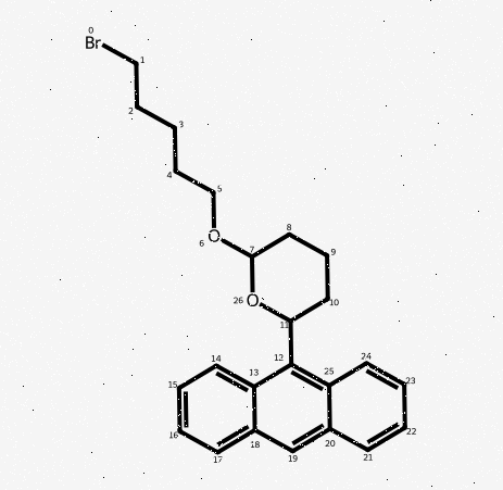 BrCCCCCOC1CCCC(c2c3ccccc3cc3ccccc23)O1